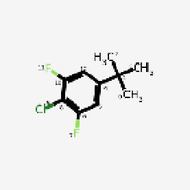 CC(C)(C)c1cc(F)c(Cl)c(F)c1